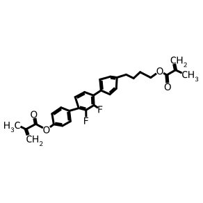 C=C(C)C(=O)OCCCCc1ccc(-c2ccc(-c3ccc(OC(=O)C(=C)C)cc3)c(F)c2F)cc1